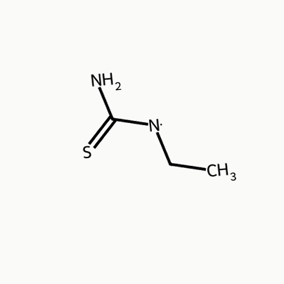 CC[N]C(N)=S